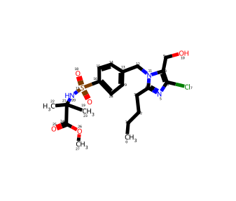 CCCCc1nc(Cl)c(CO)n1Cc1ccc(S(=O)(=O)NC(C)(C)C(=O)OC)cc1